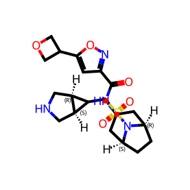 O=C(NC1C[C@H]2CC[C@@H](C1)N2S(=O)(=O)CC1[C@H]2CNC[C@@H]12)c1cc(C2COC2)on1